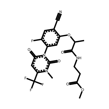 COC(=O)CCNC(=O)C(C)Oc1cc(-n2c(=O)cc(C(F)(F)F)n(C)c2=O)c(F)cc1C#N